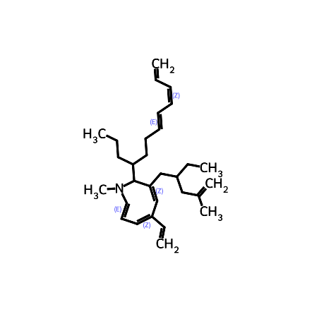 C=C/C=C\C=C\CCC(CCC)C1\C(CC(CC)CC(=C)C)=C/C(C=C)=C\C=C\N1C